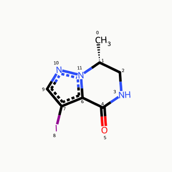 C[C@@H]1CNC(=O)c2c(I)cnn21